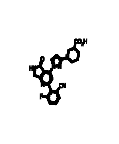 N#Cc1cccc(F)c1-c1cc(-n2ccc(N3CCCC(C(=O)O)C3)n2)c2c(n1)CNC2=O